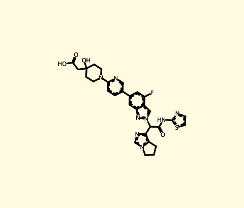 O=C(O)CC1(O)CCN(c2ccc(-c3cc(F)c4cn(C(C(=O)Nc5nccs5)c5ncn6c5CCC6)nc4c3)cn2)CC1